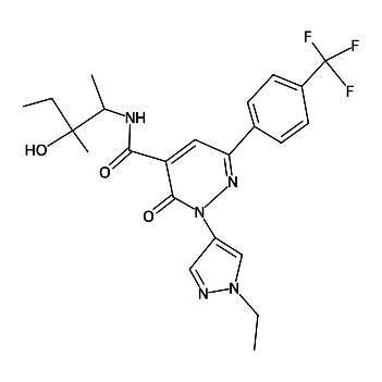 CCn1cc(-n2nc(-c3ccc(C(F)(F)F)cc3)cc(C(=O)NC(C)C(C)(O)CC)c2=O)cn1